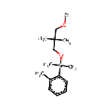 CCOCC(C)(C)CO[Si](C)(C)c1ccccc1C